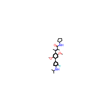 COc1cc(-c2ccc(NC(C)C)c(F)c2)c(OC)cc1/C(C)=C(\C)C(=O)NC1CCCC1